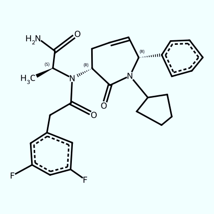 C[C@@H](C(N)=O)N(C(=O)Cc1cc(F)cc(F)c1)[C@@H]1CC=C[C@H](c2ccccc2)N(C2CCCC2)C1=O